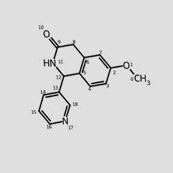 COc1ccc2c(c1)CC(=O)NC2c1cccnc1